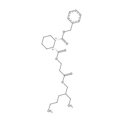 CCCCC(CC)COC(=O)CCOC(=O)[C@@H]1CCCC[C@@H]1C(=O)OCc1ccccc1